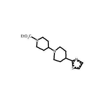 CCOC(=O)N1CCC(N2CCC(c3nccs3)CC2)CC1